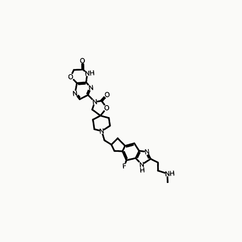 CNCCc1nc2cc3c(c(F)c2[nH]1)CC(CN1CCC2(CC1)CN(c1cnc4c(n1)NC(=O)CO4)C(=O)O2)C3